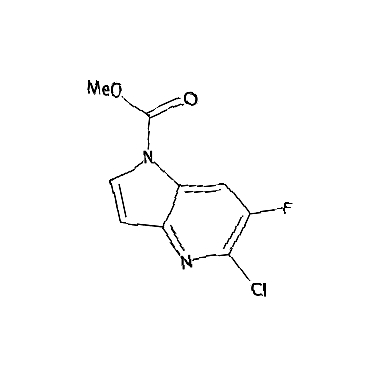 COC(=O)n1ccc2nc(Cl)c(F)cc21